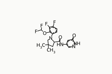 CC1(C)CC(C(=O)Nc2cn[nH]c(=O)c2)N(c2ccc(F)c(F)c2OC(F)F)C1